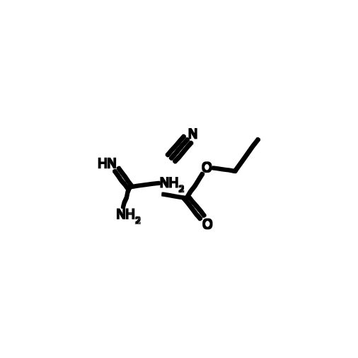 C#N.CCOC(C)=O.N=C(N)N